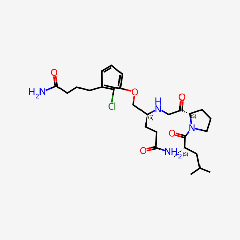 CC(C)C[C@H](C)C(=O)N1CCC[C@H]1C(=O)CN[C@@H](CCC(N)=O)COc1cccc(CCCC(N)=O)c1Cl